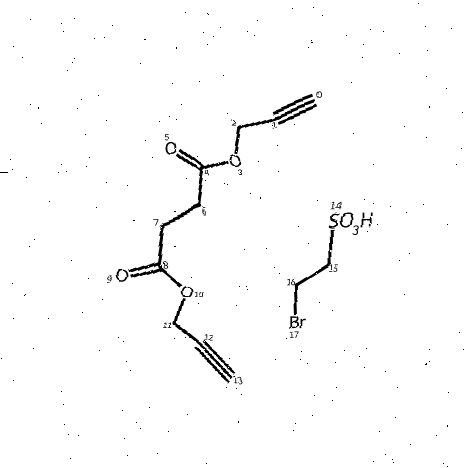 C#CCOC(=O)CCC(=O)OCC#C.O=S(=O)(O)CCBr